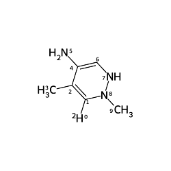 [2H]C1=C(C)C(N)=CNN1C